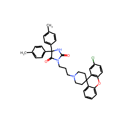 Cc1ccc(C2(c3ccc(C)cc3)NC(=O)N(CCCN3CCC4(CC3)c3ccccc3Oc3ccc(Cl)cc34)C2=O)cc1